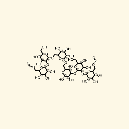 O=POCC1O[C@H](OC2[C@H](OCC3O[C@@H](OCC4O[C@@H](O)[C@H](O)C(O[C@H]5OC(CO)[C@@H](O)C(O)[C@H]5O[C@H]5OC(COP=O)[C@@H](O)C(O)[C@H]5O)[C@@H]4O)[C@H](O)C(O)[C@@H]3O)OC(CO)[C@@H](O)[C@@H]2O)[C@H](O)C(O)[C@@H]1O